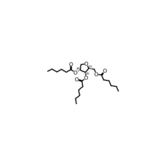 CCCCCC(=O)OC[C@@H]1OC[C@@H](OC(=O)CCCCC)[C@@H]1OC(=O)CCCCC